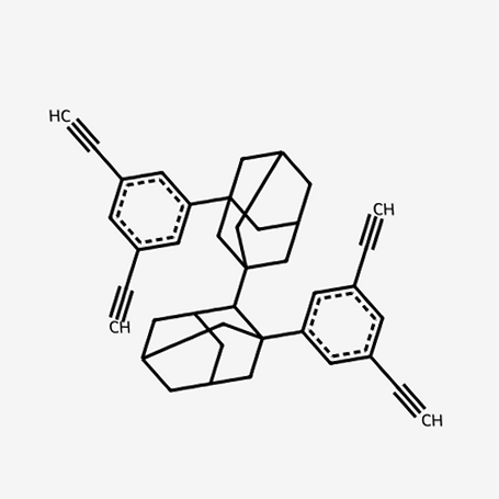 C#Cc1cc(C#C)cc(C23CC4CC(C2)CC(C2C5CC6CC(C5)CC2(c2cc(C#C)cc(C#C)c2)C6)(C4)C3)c1